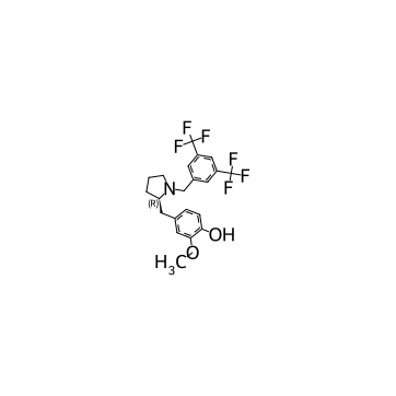 COc1cc(C[C@H]2CCCN2Cc2cc(C(F)(F)F)cc(C(F)(F)F)c2)ccc1O